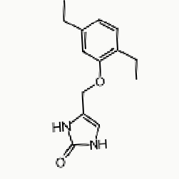 CCc1ccc(CC)c(OCc2c[nH]c(=O)[nH]2)c1